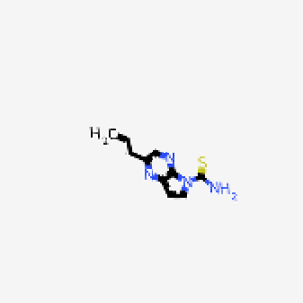 C=C[CH]c1cnc2c(ccn2C(N)=S)n1